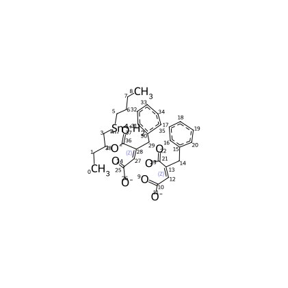 CCC[CH2][SnH2+4][CH2]CCC.O=C([O-])/C=C(/Cc1ccccc1)C(=O)[O-].O=C([O-])/C=C(/Cc1ccccc1)C(=O)[O-]